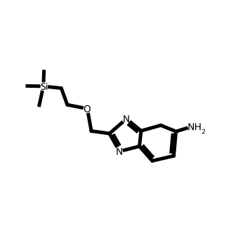 C[Si](C)(C)CCOCC1=NC2=CC=C(N)CC2=N1